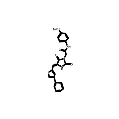 COc1ccc(NC(=O)CN2C(=O)N/C(=C\c3cc(-c4ccccc4)cs3)C2=O)cc1